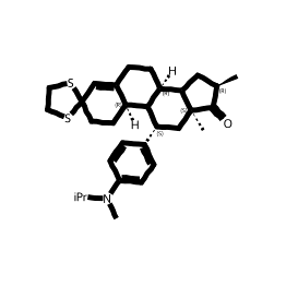 CC(C)N(C)c1ccc([C@H]2C[C@]3(C)C(=O)[C@H](C)CC3[C@@H]3CCC4=CC5(CC[C@@H]4C32)SCCS5)cc1